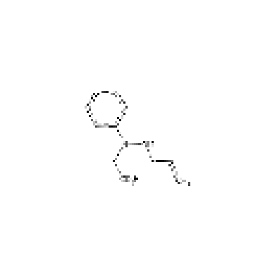 C=CCNN(CC(=O)O)c1ccccc1